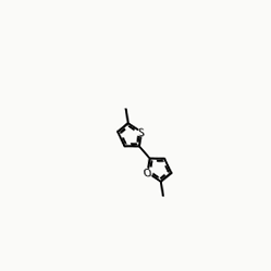 Cc1ccc(-c2ccc(C)s2)o1